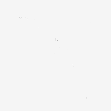 CNC(=O)OCCN1Cc2cc(Cl)ccc2C2(CCN(C3CCC(C(C)C)CC3)CC2)C1=O